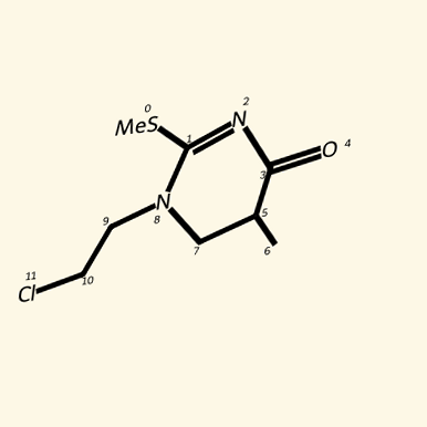 CSC1=NC(=O)C(C)CN1CCCl